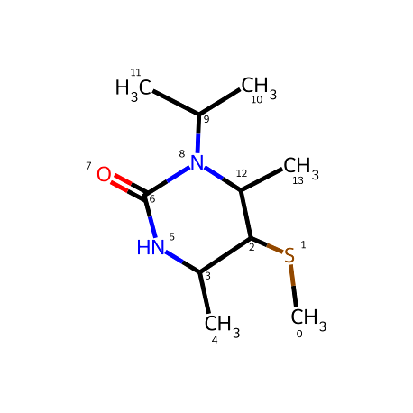 CSC1C(C)NC(=O)N(C(C)C)C1C